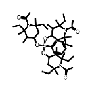 CCC1(C)CC(O[Si](OC2CC(C)(CC)N(C(C)=O)C(C)(CC)C2C)(OC2CC(C)(CC)N(C(C)=O)C(C)(CC)C2C)c2ccccc2)C(C)C(C)(CC)N1C(C)=O